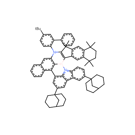 CC(C)(C)c1ccc(N2C3=C(B4c5c2cc2ccccc2c5-c2cc(C56CCCC(CCC5)C6)cc5c6cc(C78CCCC(CCC7)C8)ccc6n4c25)c2cc4c(cc2C3(C)C)C(C)(C)CCC4(C)C)c(-c2ccccc2)c1